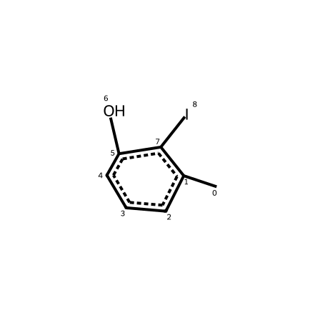 Cc1cccc(O)c1I